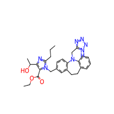 CCCc1nc(C(C)O)c(C(=O)OCC)n1Cc1ccc2c(c1)CCc1ccccc1N2Cc1nnn[nH]1